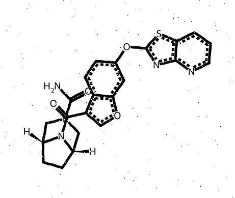 NC(=O)N1C[C@H]2CC[C@@H](C1)N2C(=O)c1coc2cc(Oc3nc4ncccc4s3)ccc12